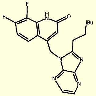 CCC(C)CCc1nc2nccnc2n1Cc1cc(=O)[nH]c2c(F)c(F)ccc12